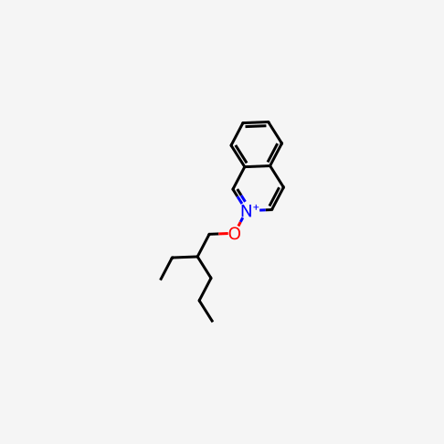 CCCC(CC)CO[n+]1ccc2ccccc2c1